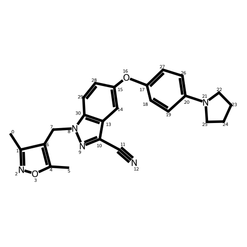 Cc1noc(C)c1Cn1nc(C#N)c2cc(Oc3ccc(N4CCCC4)cc3)ccc21